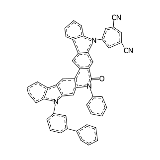 N#Cc1cc(C#N)cc(-n2c3ccccc3c3cc4c(cc32)c(=O)n(-c2ccccc2)c2cc3c(cc42)c2ccccc2n3-c2cccc(-c3ccccc3)c2)c1